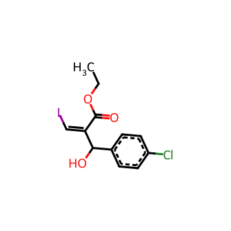 CCOC(=O)/C(=C\I)C(O)c1ccc(Cl)cc1